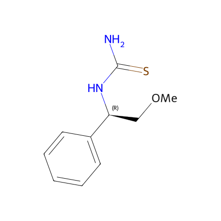 COC[C@H](NC(N)=S)c1ccccc1